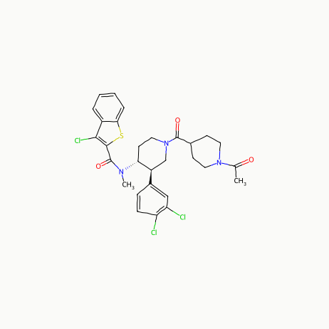 CC(=O)N1CCC(C(=O)N2CC[C@@H](N(C)C(=O)c3sc4ccccc4c3Cl)[C@H](c3ccc(Cl)c(Cl)c3)C2)CC1